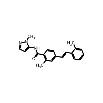 Cc1ccccc1/C=C/c1ccc(C(=O)Nc2ccnn2C)c(C)c1